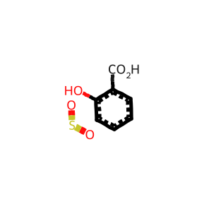 O=C(O)c1ccccc1O.O=S=O